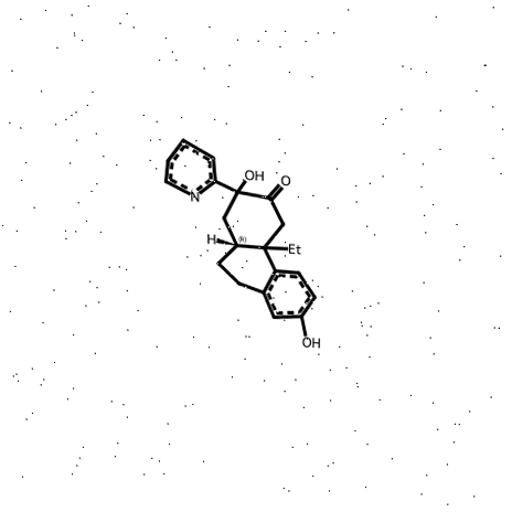 CCC12CC(=O)C(O)(c3ccccn3)C[C@H]1CCc1cc(O)ccc12